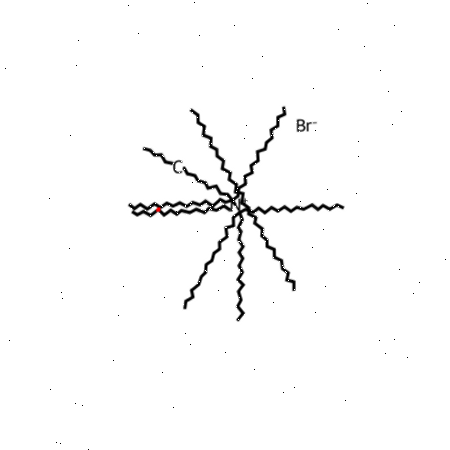 CCCCCCCCCCCCCCCCC(CCCCCCCCCCCCCCCC)[N+](CCCCCCCCCCCCCCCC)(C(CCCCCCCCCCCCCCCC)(CCCCCCCCCCCCCCCC)CCCCCCCCCCCCCCCC)C(CCCCCCCCCCCCCCCC)(CCCCCCCCCCCCCCCC)CCCCCCCCCCCCCCCC.[Br-]